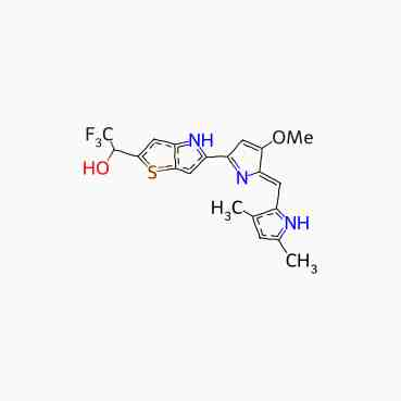 COC1=CC(c2cc3sc(C(O)C(F)(F)F)cc3[nH]2)=N/C1=C\c1[nH]c(C)cc1C